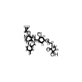 Cc1ccnc(Cn2c(-c3ccc(OCCN4CC[C@@H](O)C4=O)cc3Cl)nc3c(OC4(C)CC4)ncnc32)c1